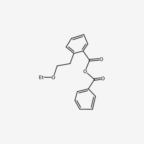 CCOCCc1ccccc1C(=O)OC(=O)c1ccccc1